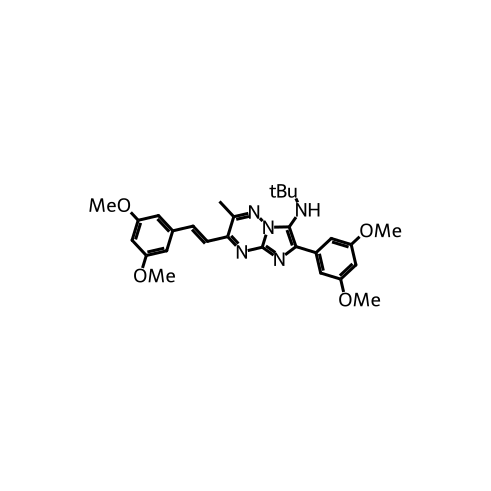 COc1cc(C=Cc2nc3nc(-c4cc(OC)cc(OC)c4)c(NC(C)(C)C)n3nc2C)cc(OC)c1